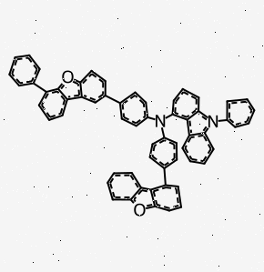 c1ccc(-c2cccc3c2oc2ccc(-c4ccc(N(c5ccc(-c6cccc7oc8ccccc8c67)cc5)c5cccc6c5c5ccccc5n6-c5ccccc5)cc4)cc23)cc1